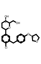 OCC1OC(c2ccc(Cl)c(Cc3ccc(O[C@H]4CCOC4)cc3)c2)CC[C@H]1O